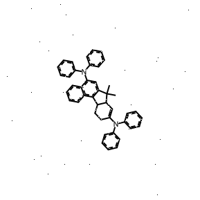 CC1(C)c2cc(N(c3ccccc3)c3ccccc3)c3ccccc3c2C2CCC(N(c3ccccc3)c3ccccc3)=CC21